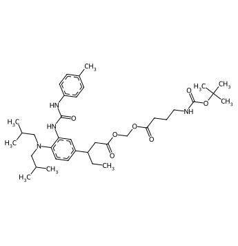 CCC(CC(=O)OCOC(=O)CCCNC(=O)OC(C)(C)C)c1ccc(N(CC(C)C)CC(C)C)c(NC(=O)Nc2ccc(C)cc2)c1